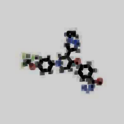 Cn1cc(C2=CN(c3ccc(OC(F)(F)F)cc3)CC=C2Oc2ccc(C(N)=O)cc2)cn1